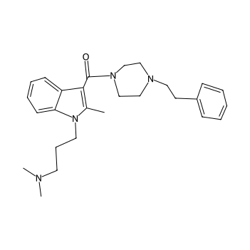 Cc1c(C(=O)N2CCN(CCc3ccccc3)CC2)c2ccccc2n1CCCN(C)C